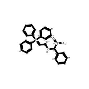 O=C([C]=P(c1ccccc1)(c1ccccc1)c1ccccc1)OC(c1ccccc1)[N+](=O)[O-]